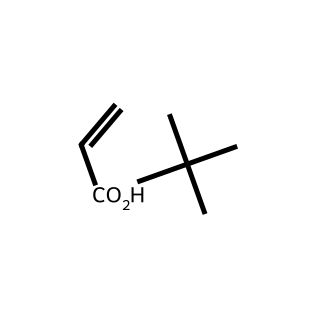 C=CC(=O)O.CC(C)(C)C